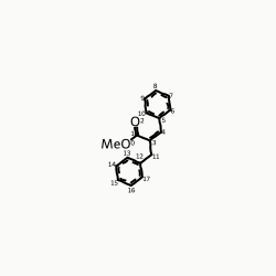 COC(=O)C(=Cc1ccccc1)Cc1ccccc1